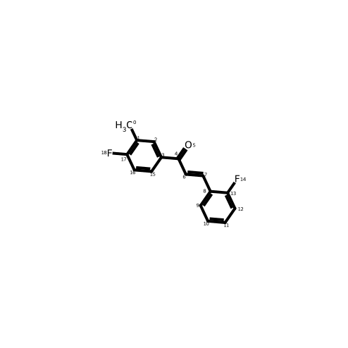 Cc1cc(C(=O)C=Cc2ccccc2F)ccc1F